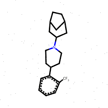 FC(F)(F)c1ccccc1C1CCN(C2CC3CCC(C3)C2)CC1